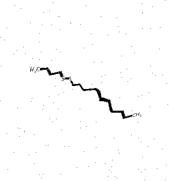 CCCCCCCCCCSSCCCC